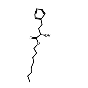 CCCCCCCCOC(=O)[C@H](O)CCc1ccccc1